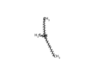 CCCCCCCCCCCCCCCCCCN1C=CN(CCCCCCCCCCCCCC)C1CCCC